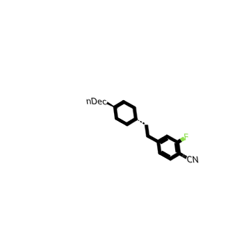 CCCCCCCCCC[C@H]1CC[C@H](CCc2ccc(C#N)c(F)c2)CC1